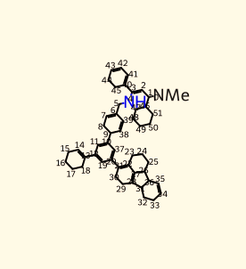 CNC(/C=C(\NCC1=CCC(c2cc(C3=CCCCC3)cc(C3=C4CCCC5C4=C(CC3)C3CCC=CC35)c2)C=C1)C1=CC=CCC1)C1CCCCC1